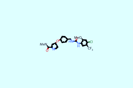 CNC(=O)c1cc(Oc2ccc(CNC(=O)Nc3cc(C(F)(F)F)c(Cl)cc3OC)cc2)ccn1